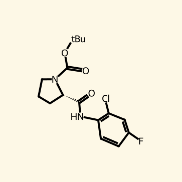 CC(C)(C)OC(=O)N1CCC[C@H]1C(=O)Nc1ccc(F)cc1Cl